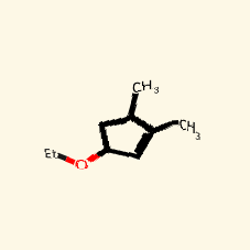 CCOC1C=C(C)C(C)C1